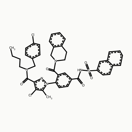 CCCCN(Cc1ccc(Cl)cc1)C(=O)c1nn(-c2ccc(C(=O)NS(=O)(=O)c3ccc4ccccc4c3)cc2C(=O)N2CCc3ccccc3C2)c(C)c1Cl